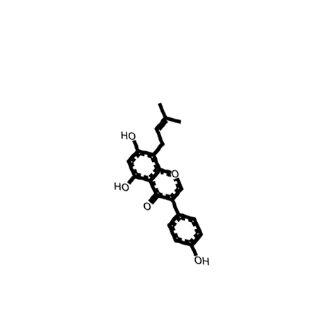 CC(C)=CCc1c(O)cc(O)c2c(=O)c(-c3ccc(O)cc3)coc12